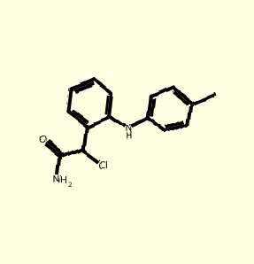 Cc1ccc(Nc2ccccc2C(Cl)C(N)=O)cc1